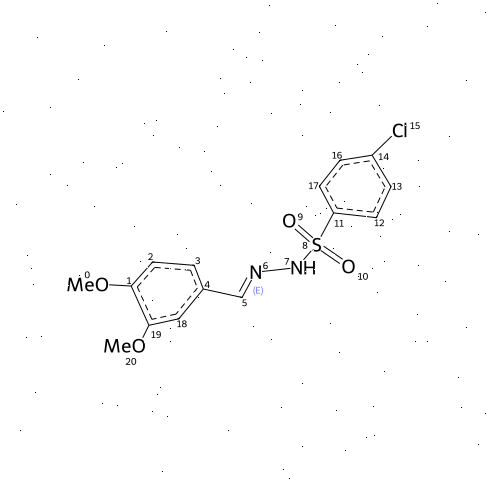 COc1ccc(/C=N/NS(=O)(=O)c2ccc(Cl)cc2)cc1OC